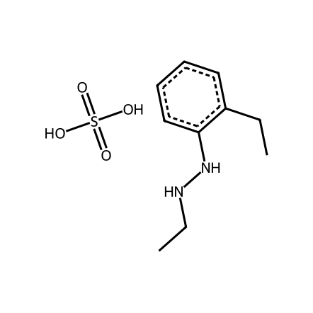 CCNNc1ccccc1CC.O=S(=O)(O)O